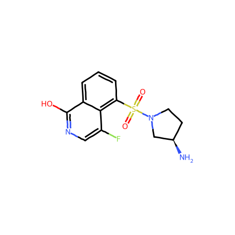 N[C@@H]1CCN(S(=O)(=O)c2cccc3c(O)ncc(F)c23)C1